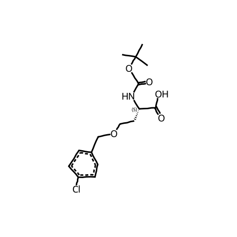 CC(C)(C)OC(=O)N[C@@H](CCOCc1ccc(Cl)cc1)C(=O)O